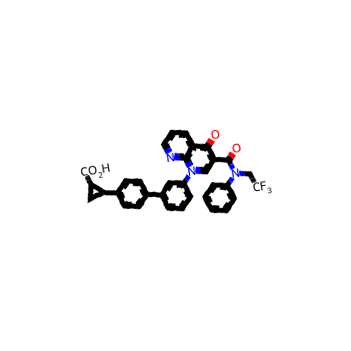 O=C(O)C1CC1c1ccc(-c2cccc(-n3cc(C(=O)N(CC(F)(F)F)c4ccccc4)c(=O)c4cccnc43)c2)cc1